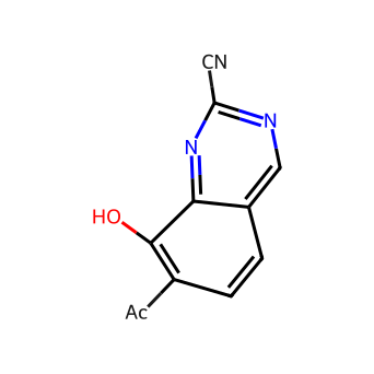 CC(=O)c1ccc2cnc(C#N)nc2c1O